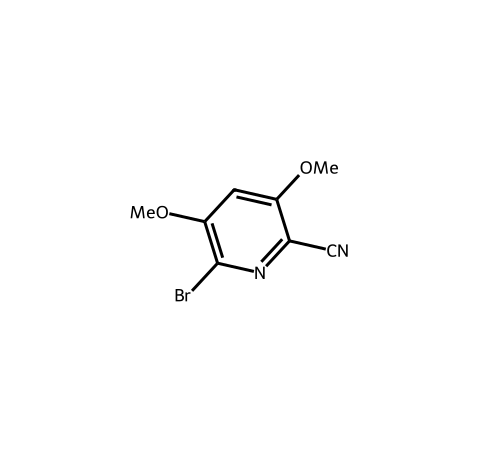 COc1cc(OC)c(C#N)nc1Br